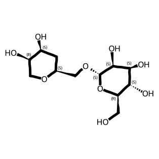 OC[C@H]1O[C@H](OC[C@@H]2C[C@H](O)[C@H](O)CO2)[C@@H](O)[C@@H](O)[C@@H]1O